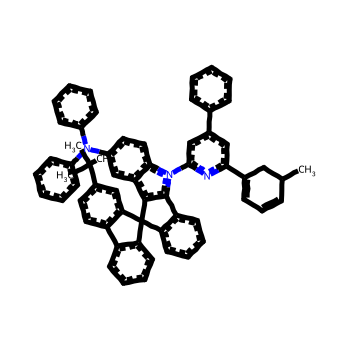 CC1C=CC=C(c2cc(-c3ccccc3)cc(-n3c4c(c5cc(N(c6ccccc6)c6ccccc6)ccc53)C3(c5ccccc5-c5ccc(C(C)(C)C)cc53)c3ccccc3-4)n2)C1